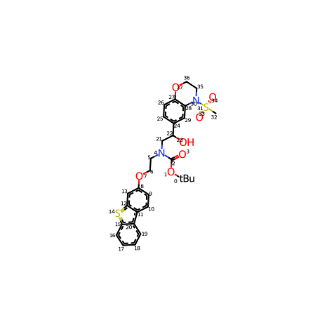 CC(C)(C)OC(=O)N(CCOc1ccc2c(c1)sc1ccccc12)CC(O)c1ccc2c(c1)N(S(C)(=O)=O)CCO2